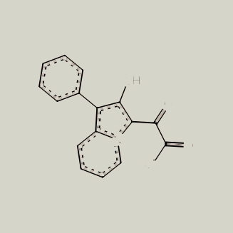 Cc1c(-c2ccccc2)c2ccccn2c1C(=O)C(=O)Cl